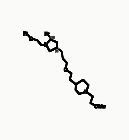 CCOCCN1C[C@@H](CCCOCCC2CCN(CCOC)CC2)C[C@H]1CC